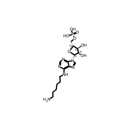 NCCCCCCNc1ncnc2c1ncn2[C@@H]1O[C@H](COP(=O)(O)O)[C@@H](O)[C@H]1O